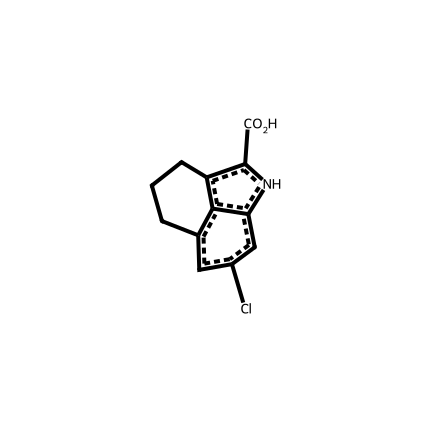 O=C(O)c1[nH]c2cc(Cl)cc3c2c1CCC3